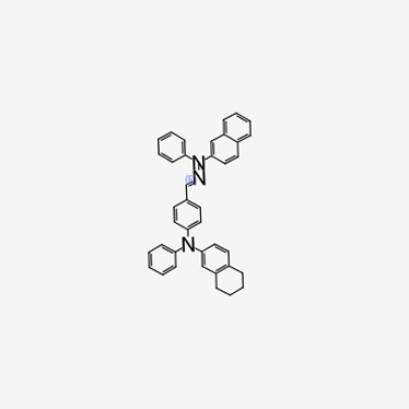 C(=N\N(c1ccccc1)c1ccc2ccccc2c1)/c1ccc(N(c2ccccc2)c2ccc3c(c2)CCCC3)cc1